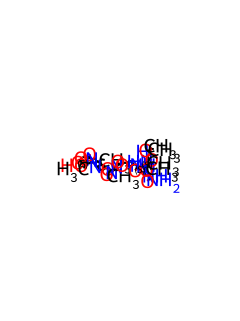 CCc1c2c(nc3ccc(OC(=O)N(C)C4CN(C(=O)OCc5ccc(NC(=O)[C@H](CCCNC(N)=O)NC(=O)[C@@H](NC(=O)CCC(=O)C(C)C)C(C)C)cc5)C4)cc13)-c1cc3c(c(=O)n1C2)COC(=O)[C@]3(O)CC